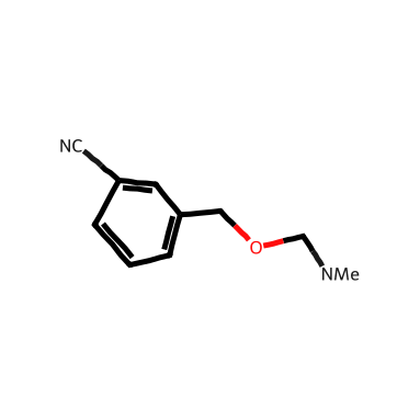 CNCOCc1cccc(C#N)c1